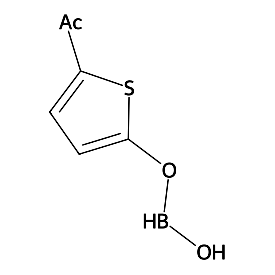 CC(=O)c1ccc(OBO)s1